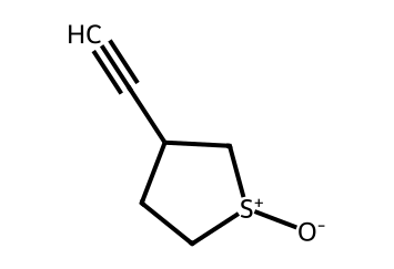 C#CC1CC[S+]([O-])C1